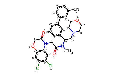 CN(C(=O)CN1C(=O)COc2cc(Cl)c(Cl)cc21)C(CN1CCOCC1)c1cccc(-c2cccc(C#N)c2)c1